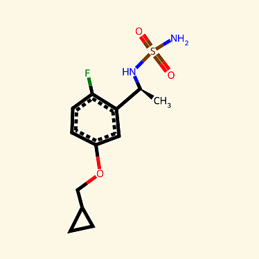 C[C@H](NS(N)(=O)=O)c1cc(OCC2CC2)ccc1F